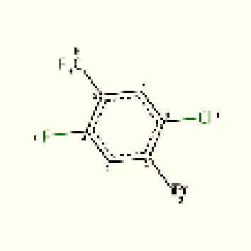 CC(C)c1cc(F)c(C(F)(F)F)cc1Cl